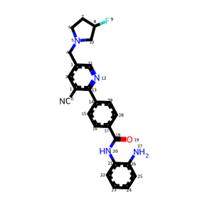 N#Cc1cc(CN2CCC(F)C2)cnc1-c1ccc(C(=O)Nc2ccccc2N)cc1